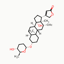 CC(=O)O[C@@H]1C[C@H]2[C@@H](CC[C@@H]3C[C@@H](O[C@H]4CC[C@@H](O)[C@H](C)O4)CC[C@@]32C)[C@@]2(O)CC[C@H](C3=CC(=O)OC3)[C@@]12C